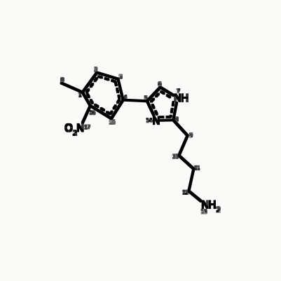 Cc1ccc(-c2c[nH]c(CCCCN)n2)cc1[N+](=O)[O-]